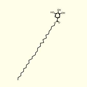 CCCCCCCCCCCCCCCCCCCCCCCCCCCOC(=O)c1cc(O)c(O)c(O)c1